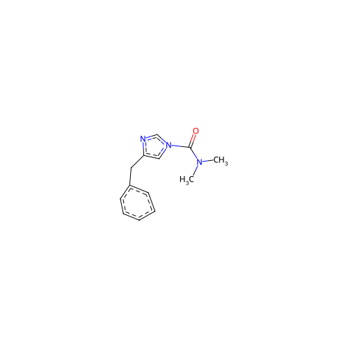 CN(C)C(=O)n1cnc(Cc2ccccc2)c1